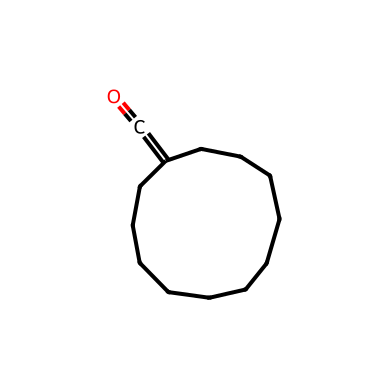 O=C=C1CCCCCCCCCCC1